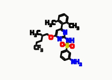 Cc1cccc(C)c1-c1cc(OCC(C)CCC(F)(F)F)nc(NS(=O)(=O)c2cccc(N)c2)n1